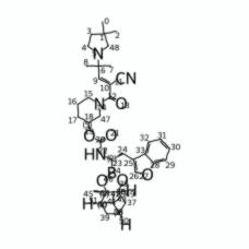 CC1(C)CCN(C(C)(C)C=C(C#N)C(=O)N2CCC[C@H](OC(=O)N[C@@H](Cc3coc4ccccc34)B3O[C@@H]4C[C@@H]5C[C@@H](C5(C)C)[C@]4(C)O3)C2)C1